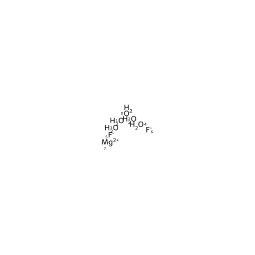 O.O.O.O.O.[F-].[F-].[Mg+2]